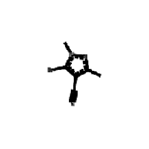 Cc1nn(C)c(Br)c1C#N